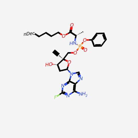 C#C[C@]1(CO[P@@](=O)(N[C@@H](C)C(=O)OCCCCCCCCCCCCCC)Oc2ccccc2)O[C@@H](n2cnc3c(N)nc(F)nc32)C[C@@H]1O